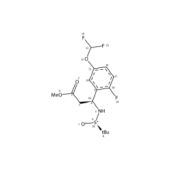 COC(=O)C[C@H](N[S@+]([O-])C(C)(C)C)c1cc(OC(F)F)ccc1F